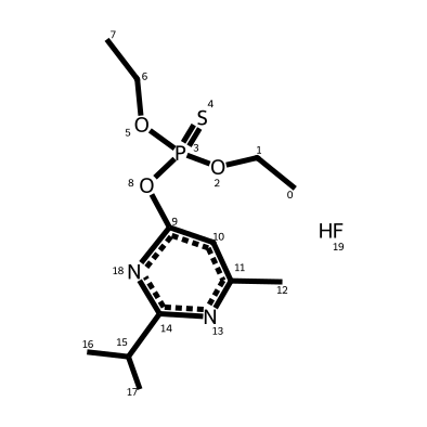 CCOP(=S)(OCC)Oc1cc(C)nc(C(C)C)n1.F